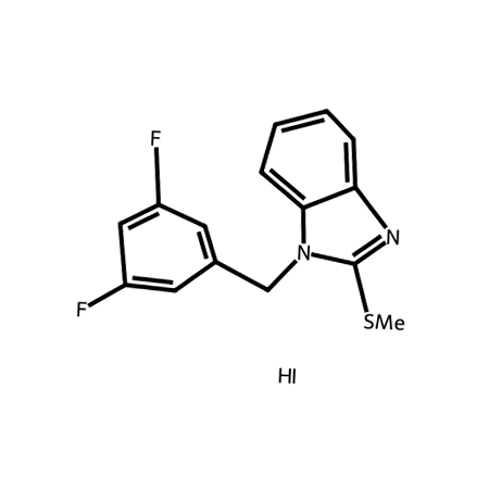 CSc1nc2ccccc2n1Cc1cc(F)cc(F)c1.I